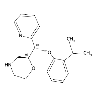 CC(C)c1ccccc1O[C@@H](c1ccccn1)[C@@H]1CNCCO1